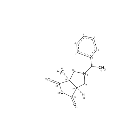 CC(c1ccccc1)N1C[C@H]2C(=O)OC(=O)[C@@]2(C)C1